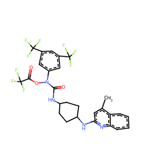 Cc1cc(NC2CCC(NC(=O)N(OC(=O)C(F)(F)F)c3cc(C(F)(F)F)cc(C(F)(F)F)c3)CC2)nc2ccccc12